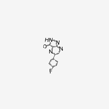 O=c1[nH]cnc2ncc(-c3ccc(F)cc3)nc12